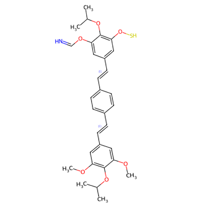 COc1cc(/C=C/c2ccc(/C=C/c3cc(OS)c(OC(C)C)c(OC=N)c3)cc2)cc(OC)c1OC(C)C